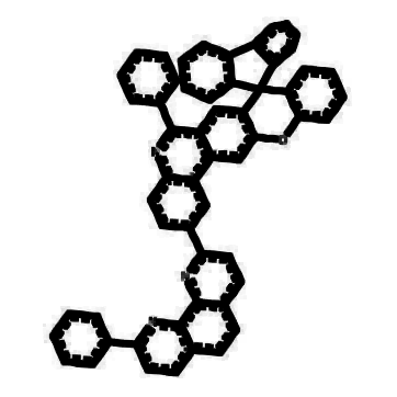 c1ccc(-c2ccc3ccc4ccc(-c5ccc6nc(-c7ccccc7)c7cc8c(cc7c6c5)Oc5ccccc5C85c6ccccc6-c6ccccc65)nc4c3n2)cc1